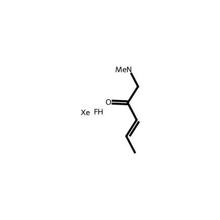 CC=CC(=O)CNC.F.[Xe]